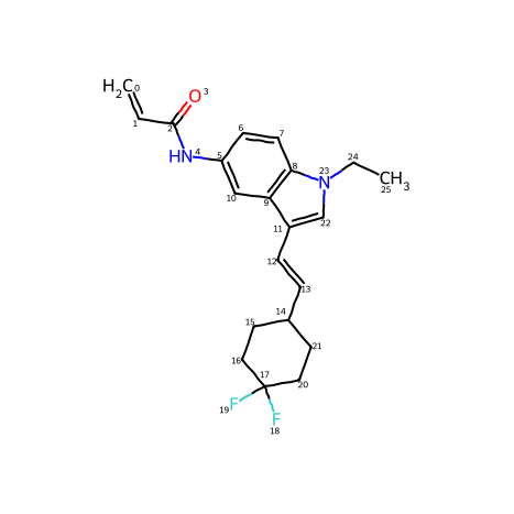 C=CC(=O)Nc1ccc2c(c1)c(/C=C/C1CCC(F)(F)CC1)cn2CC